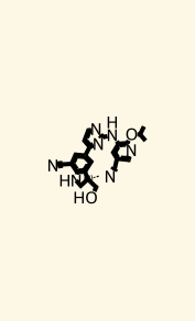 CC(C)Oc1ncc(C#N)cc1Nc1nccc(-c2cc(C#N)c3c(c2)[C@@](C)(CO)CN3)n1